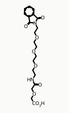 O=C(O)COCC(=O)NCCOCCOCCOCCN1C(=O)c2ccccc2C1=O